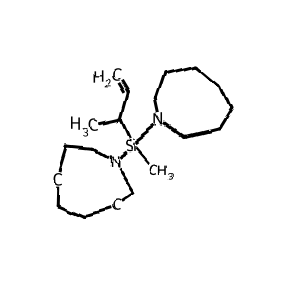 C=CC(C)[Si](C)(N1CCCCCCC1)N1CCCCCCC1